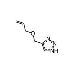 C=CCOCc1c[nH]nn1